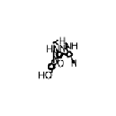 CNC(=N)c1ccc(C#N)cc1-c1cc(NCC(C)C)nc(N2Cc3ccc(CO)cc3C2=O)c1